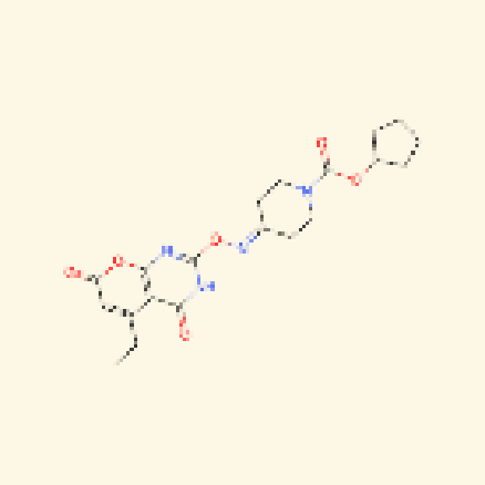 CCc1cc(=O)oc2nc(ON=C3CCN(C(=O)OC4CCCC4)CC3)[nH]c(=O)c12